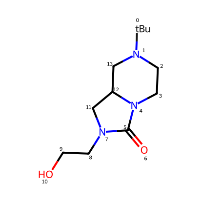 CC(C)(C)N1CCN2C(=O)N(CCO)CC2C1